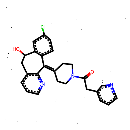 O=C(Cc1cccnc1)N1CCC(=C2c3ccc(Cl)cc3C(O)Cc3cccnc32)CC1